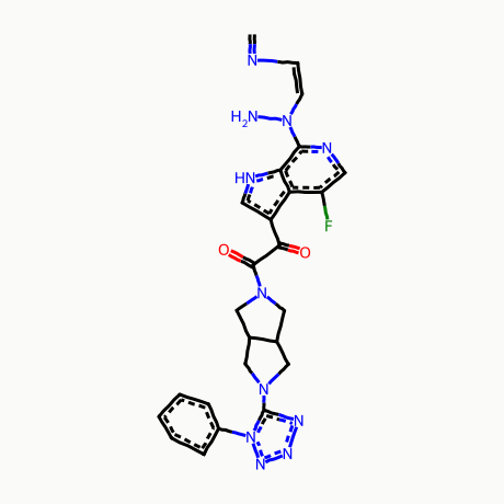 C=N/C=C\N(N)c1ncc(F)c2c(C(=O)C(=O)N3CC4CN(c5nnnn5-c5ccccc5)CC4C3)c[nH]c12